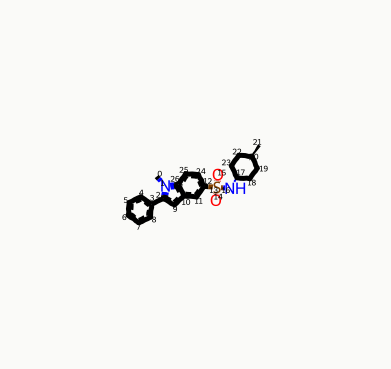 Cn1c(-c2ccccc2)cc2cc(S(=O)(=O)N[C@H]3CC[C@H](C)CC3)ccc21